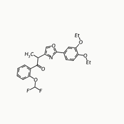 CCOc1ccc(-c2nc(C(C)C(=O)c3ccccc3OC(F)F)co2)cc1OCC